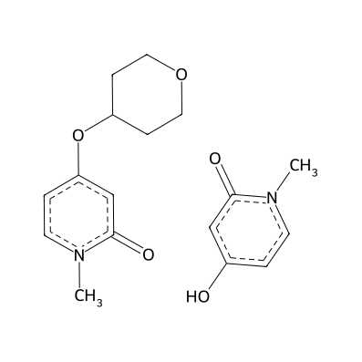 Cn1ccc(O)cc1=O.Cn1ccc(OC2CCOCC2)cc1=O